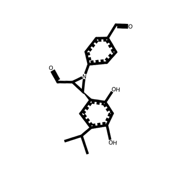 CC(C)c1cc([C@H]2C(C=O)N2c2ccc(C=O)cc2)c(O)cc1O